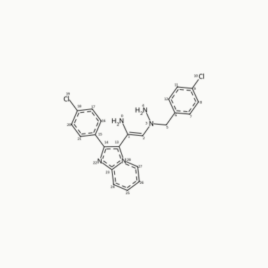 N/C(=C\N(N)Cc1ccc(Cl)cc1)c1c(-c2ccc(Cl)cc2)nc2ccccn12